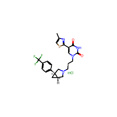 Cc1csc(-c2cn(CCCN3C[C@@H]4C[C@]4(c4ccc(C(F)(F)F)cc4)C3)c(=O)[nH]c2=O)n1.Cl